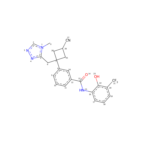 Cn1cnnc1CC1(c2cccc(C(=O)Nc3cccc(C(F)(F)F)c3O)c2)CC(C#N)C1